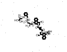 CN(CCN(C)C(=O)Oc1cc2c(c3ccccc13)[C@H](CCl)CN2C(=O)C12CC(C(=O)N3C[C@@H](CCl)c4c3cc(OP(=O)(O)O)c3ccccc43)(C1)C2)C(=O)OCc1ccccc1SSC[C@H](N)C(=O)O